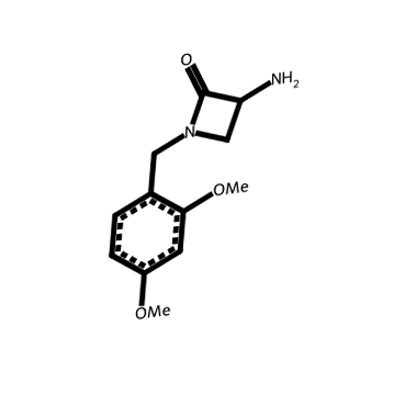 COc1ccc(CN2CC(N)C2=O)c(OC)c1